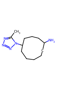 Cc1nnnn1C1CCCCCC(N)CCC1